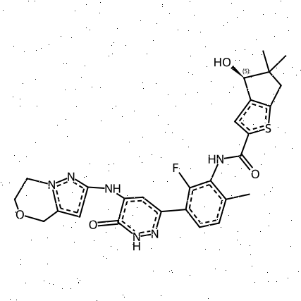 Cc1ccc(-c2cc(Nc3cc4n(n3)CCOC4)c(=O)[nH]n2)c(F)c1NC(=O)c1cc2c(s1)CC(C)(C)[C@@H]2O